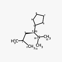 CC(C)C[C@@H](C1CCCC1)N(C)C